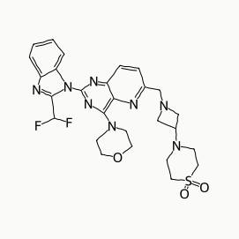 O=S1(=O)CCN(C2CN(Cc3ccc4nc(-n5c(C(F)F)nc6ccccc65)nc(N5CCOCC5)c4n3)C2)CC1